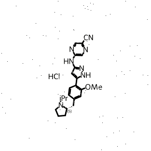 COc1cc(C[C@@H]2CCCN2C(C)C)ccc1-c1cc(Nc2cnc(C#N)cn2)n[nH]1.Cl